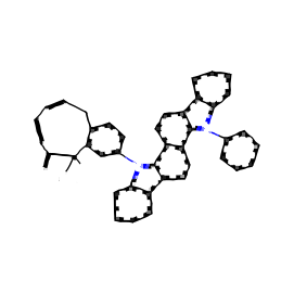 C=C1/C=C\C=C/Cc2ccc(-n3c4ccccc4c4ccc5c(ccc6c7ccccc7n(-c7ccccc7)c65)c43)cc2C1(C)C